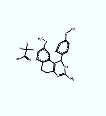 COc1ccc(C2NC(N)=NC3=C2c2cc(OC)ccc2CC3)cc1.O=C(O)C(F)(F)F